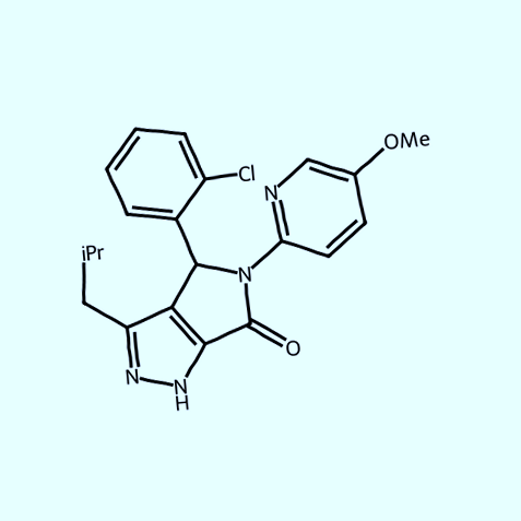 COc1ccc(N2C(=O)c3[nH]nc(CC(C)C)c3C2c2ccccc2Cl)nc1